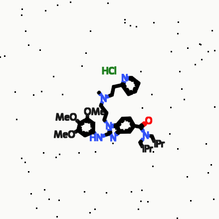 COc1cc(Nc2nc3cc(C(=O)N(CC(C)C)CC(C)C)ccc3n2CCCN(C)CCc2ccccn2)cc(OC)c1OC.Cl